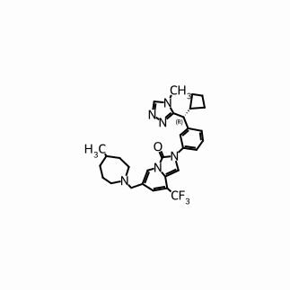 CC1CCCN(Cc2cc(C(F)(F)F)c3cn(-c4cccc([C@H](c5nncn5C)C5CCC5)c4)c(=O)n3c2)CC1